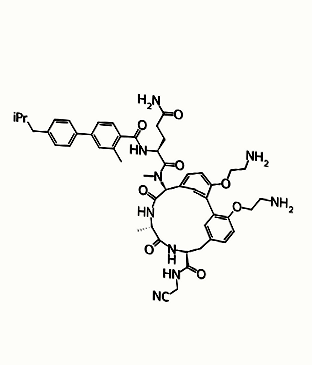 Cc1cc(-c2ccc(CC(C)C)cc2)ccc1C(=O)N[C@@H](CCC(N)=O)C(=O)N(C)[C@@H]1C(=O)N[C@@H](C)C(=O)N[C@H](C(=O)NCC#N)Cc2ccc(OCCN)c(c2)-c2cc1ccc2OCCN